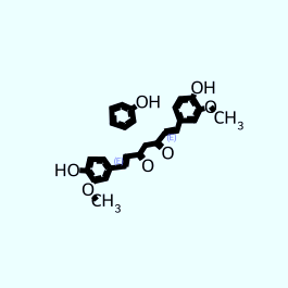 COc1cc(/C=C/C(=O)CC(=O)/C=C/c2ccc(O)c(OC)c2)ccc1O.Oc1ccccc1